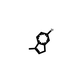 CC1=CCc2cc(Br)ccc21